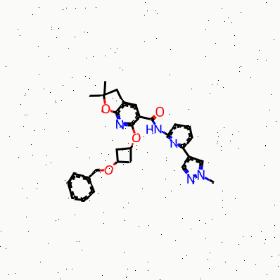 Cn1cc(-c2cccc(NC(=O)c3cc4c(nc3OC3CC(OCc5ccccc5)C3)OC(C)(C)C4)n2)cn1